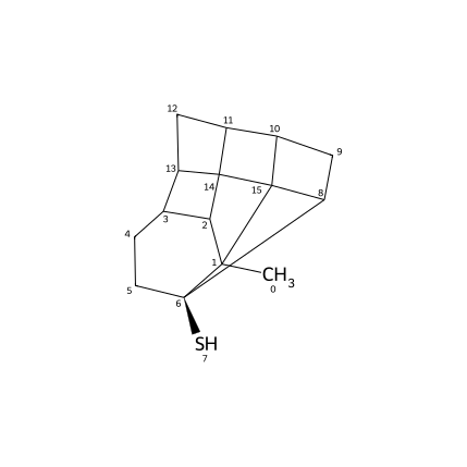 CC12C3C4CC[C@@]1(S)C1CC5C6CC4C63C512